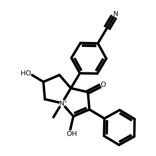 C[N+]12CC(O)CC1(c1ccc(C#N)cc1)C(=O)C(c1ccccc1)=C2O